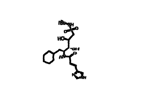 CCCCNS(=O)(=O)C[C@H](O)[C@H](O)[C@H](CC1CCCCC1)NC(=O)CCc1c[nH]cn1